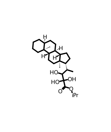 CC(C)OC(=O)C(O)(O)C(O)C(C)[C@H]1CC[C@H]2[C@@H]3CC[C@@H]4CCCC[C@]4(C)[C@H]3CC[C@]12C